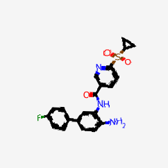 Nc1ccc(-c2ccc(F)cc2)cc1NC(=O)c1ccc(S(=O)(=O)C2CC2)nc1